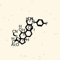 C=CC1=C(N(N)c2ccc(F)cc2)C=C2CCC3[C@H](C(O)CC4(C)[C@H]3CCC4(OC(C)=O)C(=O)SCC#N)C2(C)C1